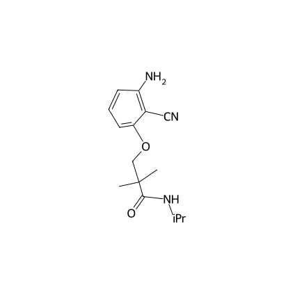 CC(C)NC(=O)C(C)(C)COc1cccc(N)c1C#N